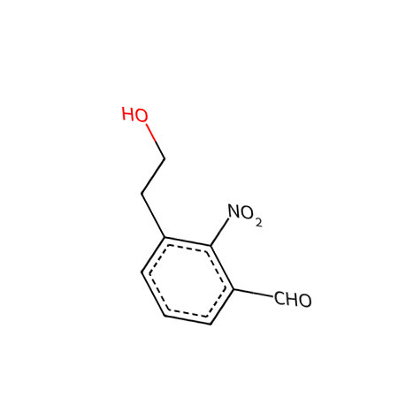 O=Cc1cccc(CCO)c1[N+](=O)[O-]